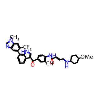 COC1CCC(NC/C=C/C(=O)Nc2ccc(C(=O)c3c[nH]c4c(-c5cc6ncn(C)c6cc5C(F)(F)F)cccc34)cc2C#N)CC1